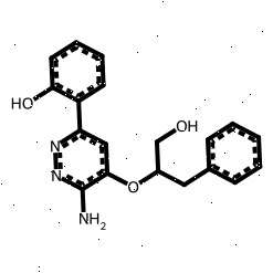 Nc1nnc(-c2ccccc2O)cc1OC(CO)Cc1ccccc1